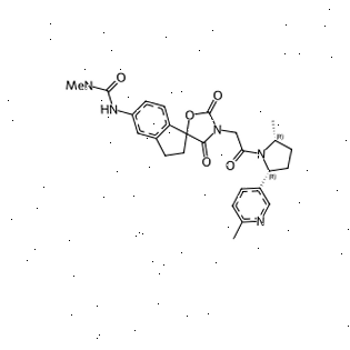 CNC(=O)Nc1ccc2c(c1)CCC21OC(=O)N(CC(=O)N2[C@H](C)CC[C@@H]2c2ccc(C)nc2)C1=O